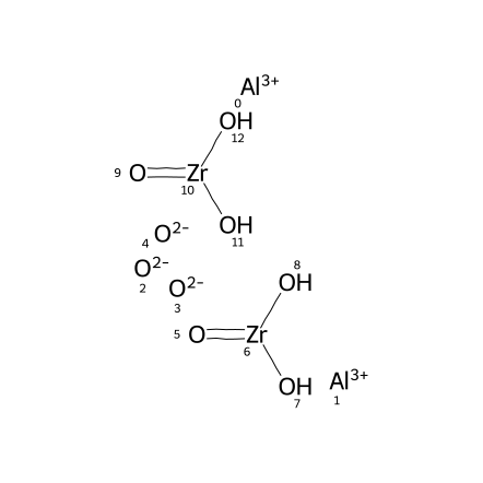 [Al+3].[Al+3].[O-2].[O-2].[O-2].[O]=[Zr]([OH])[OH].[O]=[Zr]([OH])[OH]